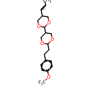 C/C=C/C1COC(C2COC(CCc3ccc(OC(F)(F)F)cc3)OC2)OC1